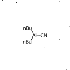 CCC[CH2][Al]([C]#N)[CH2]CCC